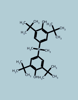 CC(C)(C)c1cc([Si](C)(C)c2cc(C(C)(C)C)c(O)c(C(C)(C)C)c2)cc(C(C)(C)C)c1O